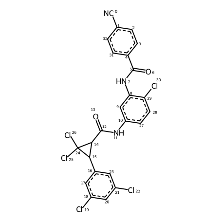 N#Cc1ccc(C(=O)Nc2cc(NC(=O)C3C(c4cc(Cl)cc(Cl)c4)C3(Cl)Cl)ccc2Cl)cc1